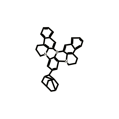 c1ccc2c3c4c(cc2c1)B1c2cc5ccccc5c5c2N(CCC5)c2cc(C5C6CC7CC(C6)CC5C7)cc(c21)N4CCC3